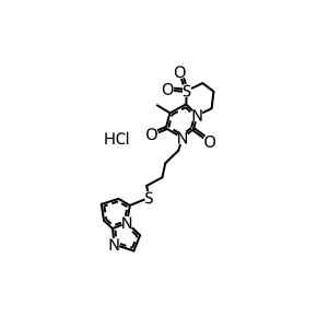 Cc1c2n(c(=O)n(CCCCSc3cccc4nccn34)c1=O)CCCS2(=O)=O.Cl